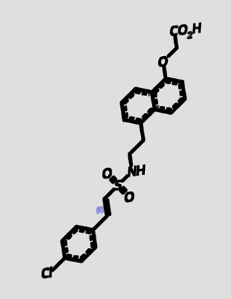 O=C(O)COc1cccc2c(CCNS(=O)(=O)/C=C/c3ccc(Cl)cc3)cccc12